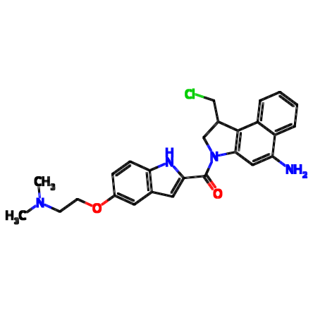 CN(C)CCOc1ccc2[nH]c(C(=O)N3CC(CCl)c4c3cc(N)c3ccccc43)cc2c1